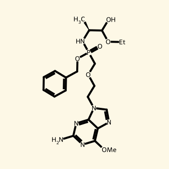 CCOC(O)[C@H](C)NP(=O)(COCCn1cnc2c(OC)nc(N)nc21)OCc1ccccc1